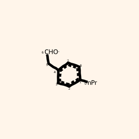 CCCc1ccc(C[C]=O)cc1